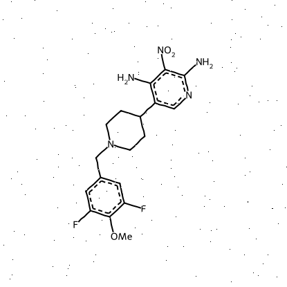 COc1c(F)cc(CN2CCC(c3cnc(N)c([N+](=O)[O-])c3N)CC2)cc1F